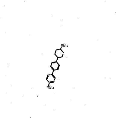 CCCCc1ccc(-c2ccc(C3CCC(CCCC)CC3)cc2)cc1